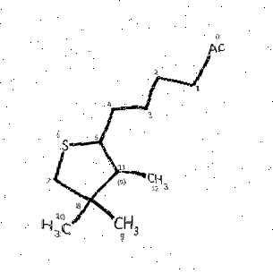 CC(=O)CCCCC1SCC(C)(C)[C@@H]1C